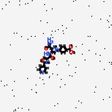 COC(=O)c1ccc(-n2cc(NC(=O)c3coc(-c4ccncc4)n3)c(C(N)=O)n2)cc1